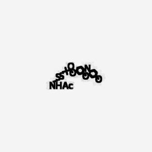 CC(=O)NCCSSCC(C)(C)C(=O)Oc1ccc2nc3ccc(=O)cc-3oc2c1